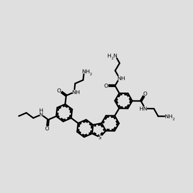 CCCNC(=O)c1cc(C(=O)NCCN)cc(-c2ccc3sc4ccc(-c5cc(C(=O)NCCN)cc(C(=O)NCCN)c5)cc4c3c2)c1